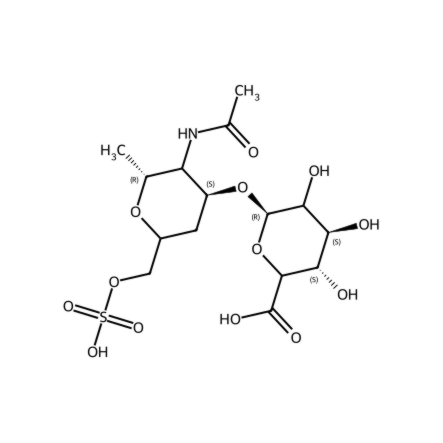 CC(=O)NC1[C@@H](O[C@@H]2OC(C(=O)O)[C@@H](O)[C@H](O)C2O)CC(COS(=O)(=O)O)O[C@@H]1C